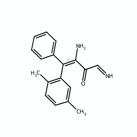 Cc1ccc(C)c(/C(=C(/N)C(=O)C=N)c2ccccc2)c1